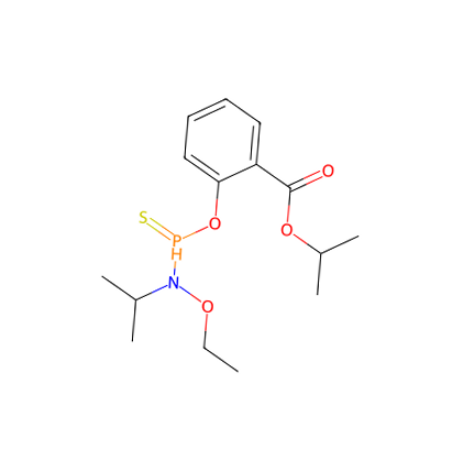 CCON(C(C)C)[PH](=S)Oc1ccccc1C(=O)OC(C)C